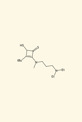 CCN(CC)CCCN(C)C1=C(C(C)(C)C)C(S)C1=S